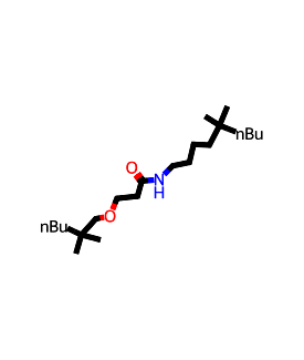 CCCCC(C)(C)CCCCNC(=O)CCOCC(C)(C)CCCC